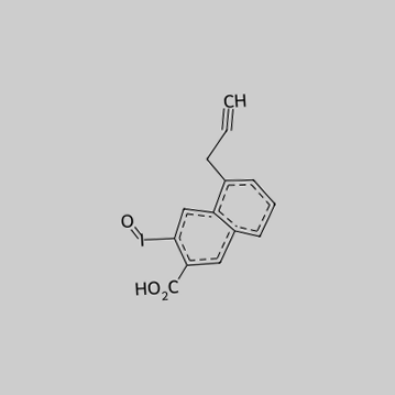 C#CCc1cccc2cc(C(=O)O)c(I=O)cc12